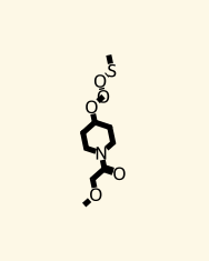 COCC(=O)N1CCC(OOOSC)CC1